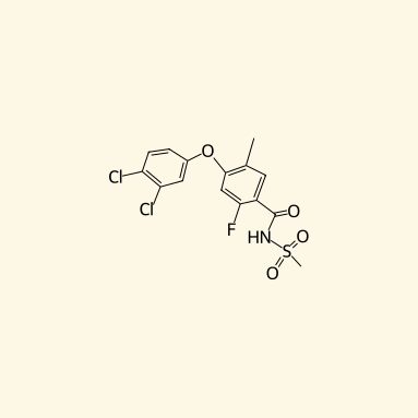 Cc1cc(C(=O)NS(C)(=O)=O)c(F)cc1Oc1ccc(Cl)c(Cl)c1